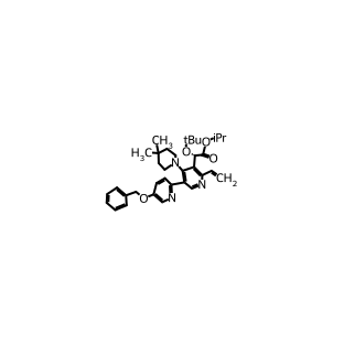 C=Cc1ncc(-c2ccc(OCc3ccccc3)cn2)c(N2CCC(C)(C)CC2)c1[C@H](OC(C)(C)C)C(=O)OC(C)C